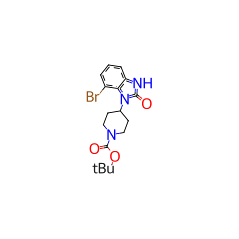 CC(C)(C)OC(=O)N1CCC(n2c(=O)[nH]c3cccc(Br)c32)CC1